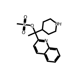 CC(OS(C)(=O)=O)(c1ccc2ccccc2n1)C1CCNCC1